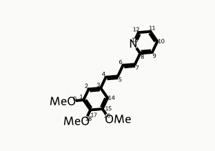 COc1cc(/C=C/C=C/c2ccccn2)cc(OC)c1OC